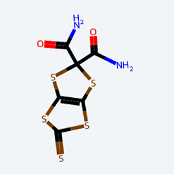 NC(=O)C1(C(N)=O)Sc2sc(=S)sc2S1